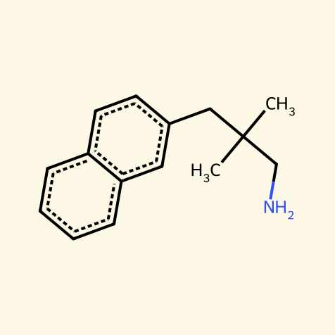 CC(C)(CN)Cc1ccc2ccccc2c1